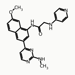 CNc1nccc(-c2cc(NC(=O)CNc3ccncc3)c3cc(OC)ccc3c2)n1